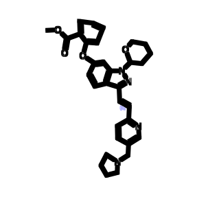 COC(=O)c1ccccc1Oc1ccc2c(/C=C/c3ccc(CN4CCCC4)cn3)nn(C3CCCCO3)c2c1